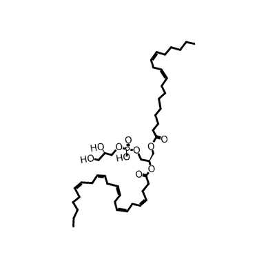 CCCCC/C=C\C/C=C\C/C=C\C/C=C\C/C=C\CCC(=O)O[C@H](COC(=O)CCCCCCC/C=C\C/C=C\CCCCC)COP(=O)(O)OC[C@@H](O)CO